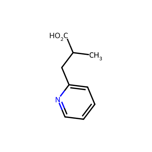 CC(Cc1ccccn1)C(=O)O